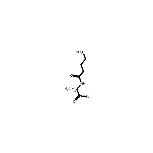 CCC(=O)[C@H](C)NC(=O)CCCC(=O)O